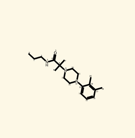 CCCNC(=O)C(C)(C)N1CCN(c2cccc(C)c2C)CC1